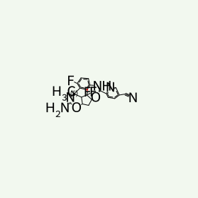 C[C@]1(c2cc(NC(=O)c3ccc(C#N)cn3)ccc2F)N=C(N)OC2CCC(F)(F)C21